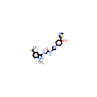 Cn1nc(NCC(=O)NC2CN(C3CCC(O)(c4cncs4)CC3)C2)c2cc(C(F)C(F)(F)F)ccc21